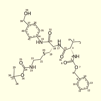 CC(C)[C@H](NC(=O)OCc1ccccc1)C(=O)N[C@H](CSCCNC(=O)OC(C)(C)C)C(=O)Nc1ccc(CO)cc1